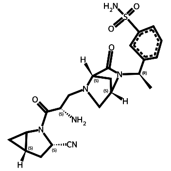 C[C@H](c1cccc(S(N)(=O)=O)c1)N1C(=O)[C@@H]2C[C@H]1CN2C[C@H](N)C(=O)N1C2C[C@H]2C[C@H]1C#N